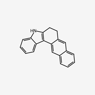 c1ccc2cc3c(cc2c1)CCc1[nH]c2ccccc2c1-3